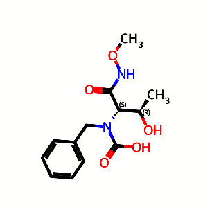 CONC(=O)[C@H]([C@@H](C)O)N(Cc1ccccc1)C(=O)O